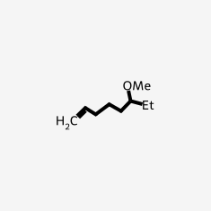 [CH2]CC(CCCC=C)OC